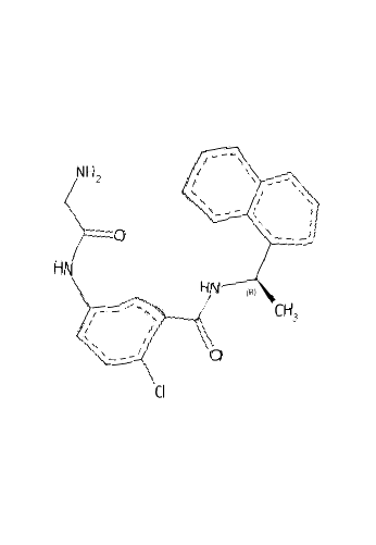 C[C@@H](NC(=O)c1cc(NC(=O)CN)ccc1Cl)c1cccc2ccccc12